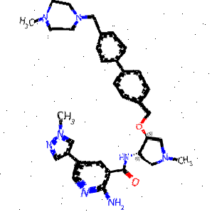 CN1CCN(Cc2ccc(-c3ccc(CO[C@H]4CN(C)C[C@@H]4NC(=O)c4cc(-c5cnn(C)c5)cnc4N)cc3)cc2)CC1